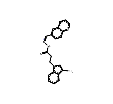 Cc1cn(CCC(=O)N/N=C\c2ccc3ncccc3c2)c2ccccc12